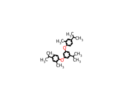 Cc1cc(C(C)C)ccc1Oc1cc(Oc2ccc(C(C)C)cc2C)cc(C(C)C)c1